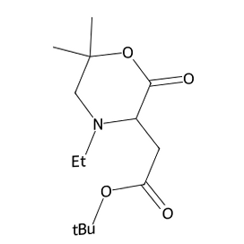 CCN1CC(C)(C)OC(=O)C1CC(=O)OC(C)(C)C